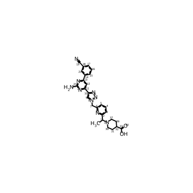 CC(c1cccc(Cn2cc(-c3cc(-c4cccc(C#N)c4)nc(N)n3)nn2)n1)N1CCC(C(=O)O)CC1